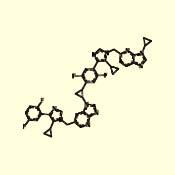 Fc1ccc(F)c(-c2ncn(Cc3cnc4ncn(C5CC5c5cc(F)c(-c6ncn(Cc7ccc8ncn(C9CC9)c8n7)c6C6CC6)cc5F)c4c3)c2C2CC2)c1